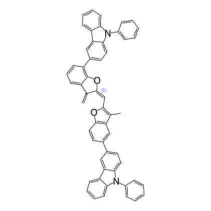 C=c1/c(=C\c2oc3ccc(-c4ccc5c(c4)c4ccccc4n5-c4ccccc4)cc3c2C)oc2c(-c3ccc4c(c3)c3ccccc3n4-c3ccccc3)cccc12